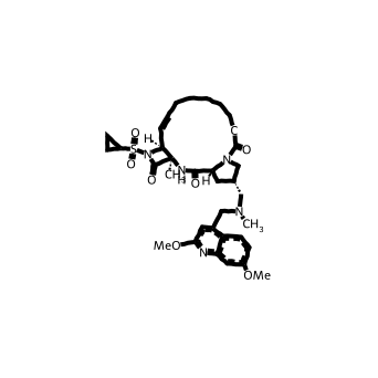 COc1ccc2c(CN(C)C[C@@H]3C[C@H]4C(=O)N[C@@]5(C)C(=O)N(S(=O)(=O)C6CC6)[C@H]5/C=C\CCCCCCC(=O)N4C3)cc(OC)nc2c1